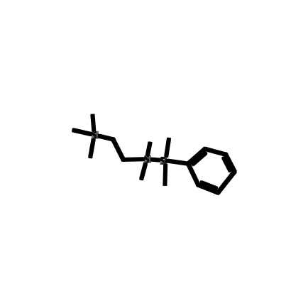 C[Si](C)(C)CC[Si](C)(C)[Si](C)(C)c1ccccc1